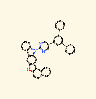 c1ccc(-c2cc(-c3ccccc3)cc(-c3cnc(-n4c5ccccc5c5cc6oc7ccc8ccccc8c7c6cc54)nc3)c2)cc1